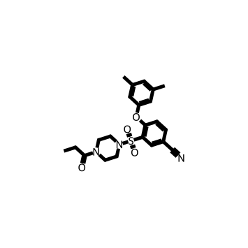 CCC(=O)N1CCN(S(=O)(=O)c2cc(C#N)ccc2Oc2cc(C)cc(C)c2)CC1